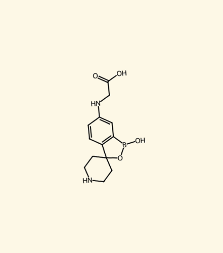 O=C(O)CNc1ccc2c(c1)B(O)OC21CCNCC1